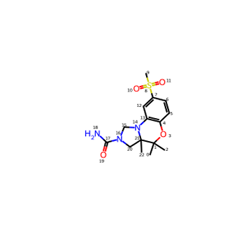 CC1(C)Oc2ccc(S(C)(=O)=O)cc2N2CN(C(N)=O)CC21C